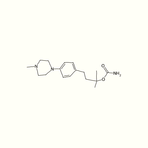 CN1CCN(c2ccc(CCC(C)(C)OC(N)=O)cc2)CC1